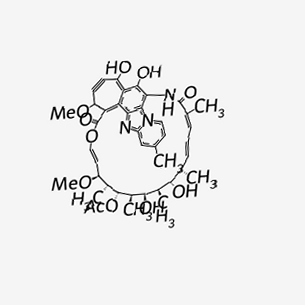 COC1C#CC(O)=c2c(O)c3c4c(nc5cc(C)ccn54)c2=C1C(=O)O/C=C/[C@H](OC)[C@@H](C)[C@@H](OC(C)=O)[C@H](C)[C@H](O)[C@H](C)[C@@H](O)[C@@H](C)/C=C/C=C(/C)C(=O)N3